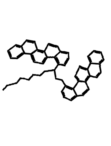 CCCCCCCCC(CCc1cccc2ccc3c4ccc5ccccc5c4ccc3c12)c1cccc2ccc3c4ccc5ccccc5c4ccc3c12